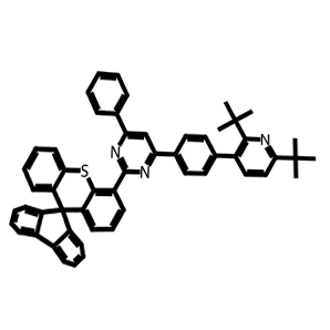 CC(C)(C)c1ccc(-c2ccc(-c3cc(-c4ccccc4)nc(-c4cccc5c4Sc4ccccc4C54c5ccccc5-c5ccccc54)n3)cc2)c(C(C)(C)C)n1